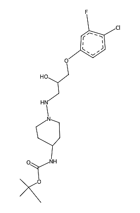 CC(C)(C)OC(=O)NC1CCN(NCC(O)COc2ccc(Cl)c(F)c2)CC1